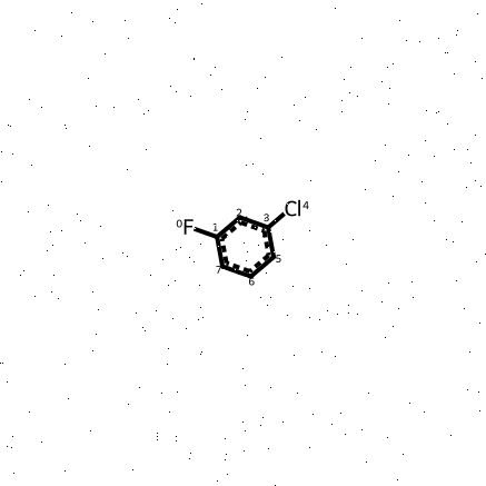 Fc1[c]c(Cl)ccc1